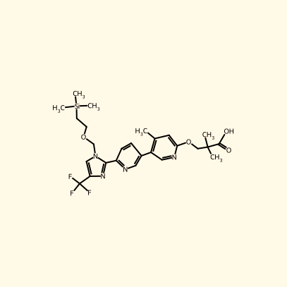 Cc1cc(OCC(C)(C)C(=O)O)ncc1-c1ccc(-c2nc(C(F)(F)F)cn2COCC[Si](C)(C)C)nc1